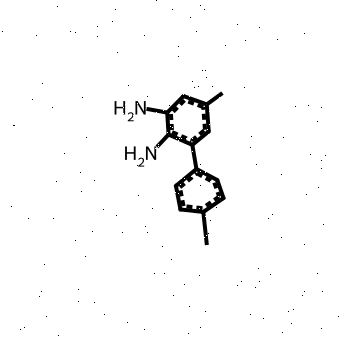 Cc1ccc(-c2cc(C)cc(N)c2N)cc1